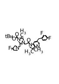 C[C@@H]1CN(CC(=O)N2CC(C)(C)c3ncc(Cc4ccc(F)cc4F)cc32)[C@@H](CN2CC[C@@H](F)C2)CN1C(=O)OC(C)(C)C